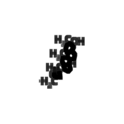 [CH2]c1cc([C@H]2CCC3[C@@H]4CCC5C[C@](C)(O)CC[C@]5(C)C4CCC32C)no1